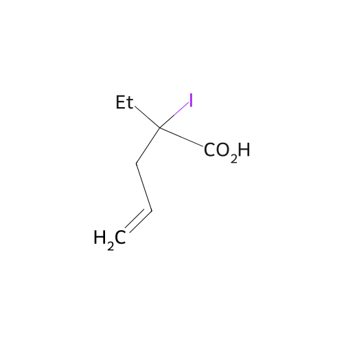 C=CCC(I)(CC)C(=O)O